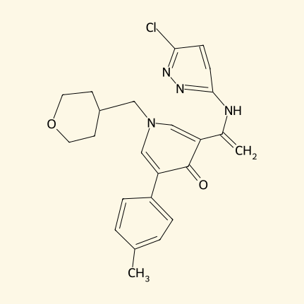 C=C(Nc1ccc(Cl)nn1)c1cn(CC2CCOCC2)cc(-c2ccc(C)cc2)c1=O